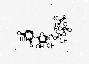 O=c1ccn([C@@H]2O[C@H](COP(=O)(O)OP(=O)(O)OP(=O)(O)O)C(O)C2O)c(=S)[nH]1